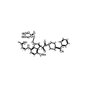 COc1cnc(N/C=N\C(C)=N)c2c1c(C(=O)C(=O)N1CCC(=C(C#N)c3ccccn3)CC1)cn2COP(=O)(OC(C)(C)C)OC(C)(C)C